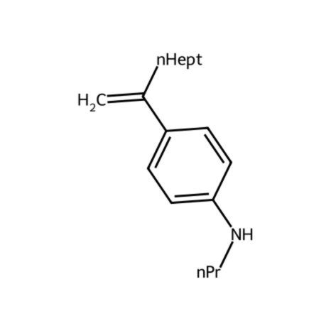 C=C(CCCCCCC)c1ccc(NCCC)cc1